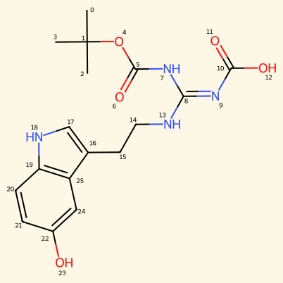 CC(C)(C)OC(=O)N/C(=N\C(=O)O)NCCc1c[nH]c2ccc(O)cc12